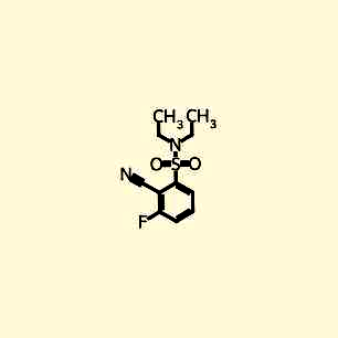 CCN(CC)S(=O)(=O)c1cccc(F)c1C#N